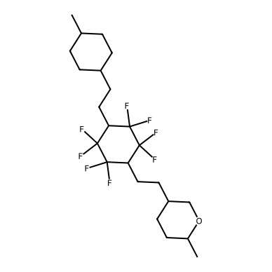 CC1CCC(CCC2C(F)(F)C(F)(F)C(CCC3CCC(C)OC3)C(F)(F)C2(F)F)CC1